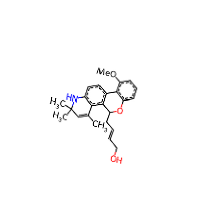 COc1cccc2c1-c1ccc3c(c1C(CC=CCO)O2)C(C)=CC(C)(C)N3